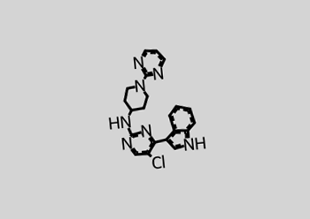 Clc1cnc(NC2CCN(c3ncccn3)CC2)nc1-c1c[nH]c2ccccc12